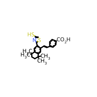 CC1(C)CCC(C)(C)c2cc(-c3nc(S)cs3)c(/C=C/c3ccc(C(=O)O)cc3)cc21